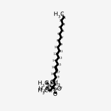 CCCCCCCCCCCCCCCCC=CCCCCC(CC)(P(=O)=O)[N+](C)(C)C